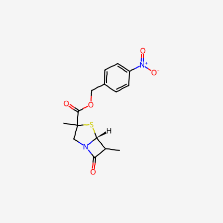 CC1C(=O)N2CC(C)(C(=O)OCc3ccc([N+](=O)[O-])cc3)S[C@H]12